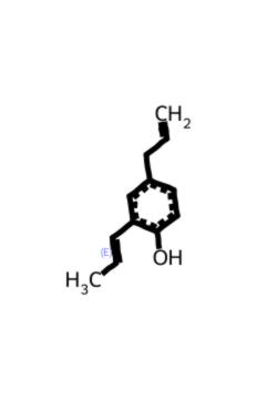 C=CCc1ccc(O)c(/C=C/C)c1